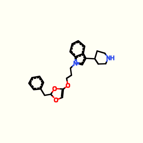 C1=C(OCCCn2cc(C3CCNCC3)c3ccccc32)OC(Cc2ccccc2)O1